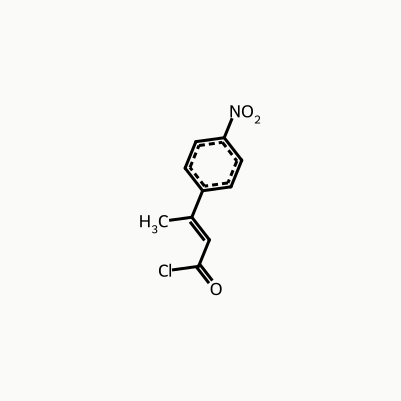 CC(=CC(=O)Cl)c1ccc([N+](=O)[O-])cc1